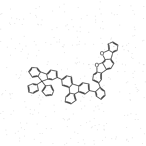 c1ccc(C2(c3ccccc3)c3ccccc3-c3ccc(-c4ccc5c6ccc(-c7ccccc7-c7ccc8oc9c(ccc%10c%11ccccc%11oc%109)c8c7)cc6c6ccccc6c5c4)cc32)cc1